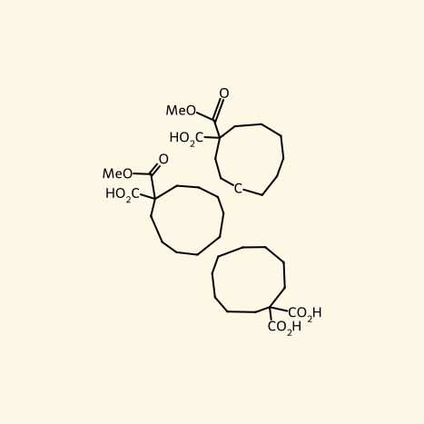 COC(=O)C1(C(=O)O)CCCCCCCCC1.COC(=O)C1(C(=O)O)CCCCCCCCC1.O=C(O)C1(C(=O)O)CCCCCCCCC1